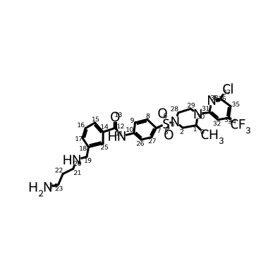 CC1CN(S(=O)(=O)c2ccc(NC(=O)c3cccc(CNCCCN)c3)cc2)CCN1c1cc(C(F)(F)F)cc(Cl)n1